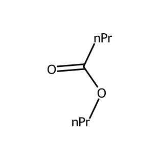 [CH2]CCC(=O)OCCC